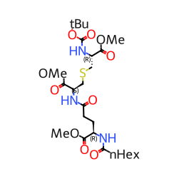 CCCCCCC(=O)N[C@H](CCC(=O)N[C@H](CSC[C@H](NC(=O)OC(C)(C)C)C(=O)OC)C(=O)OC)C(=O)OC